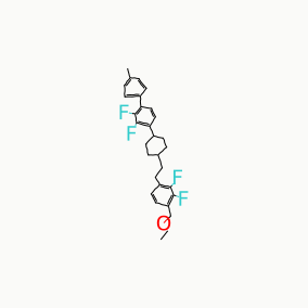 CCOCc1ccc(CCC2CCC(c3ccc(-c4ccc(C)cc4)c(F)c3F)CC2)c(F)c1F